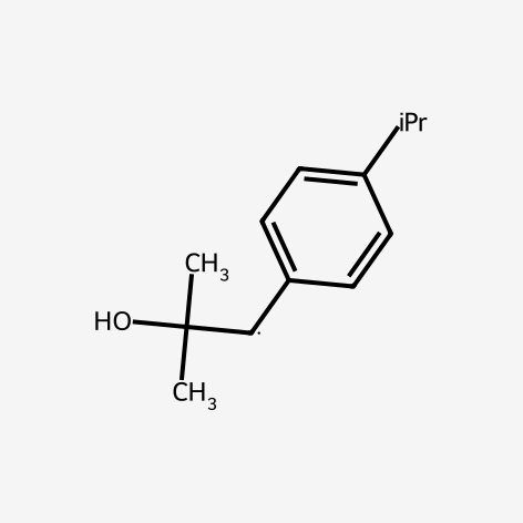 CC(C)c1ccc([CH]C(C)(C)O)cc1